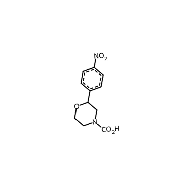 O=C(O)N1CCOC(c2ccc([N+](=O)[O-])cc2)C1